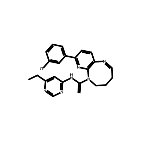 C=C(Nc1cc(CC)ncn1)N1CCC/C=N\c2ccc(-c3cccc(Cl)c3)nc21